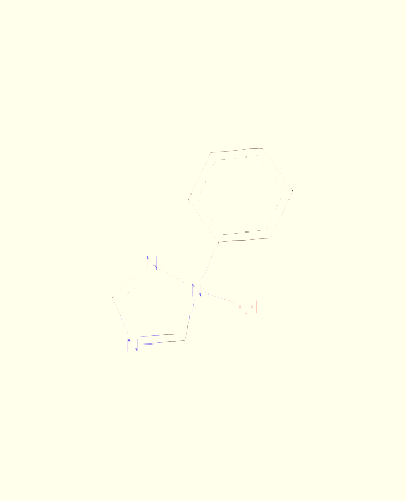 O[N+]1(c2ccccc2)C=NC=N1